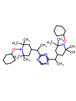 CC(c1ncnc(C(C)C2CC(C)(C)N(OC3CCCCC3)C(C)(C)C2)n1)C1CC(C)(C)N(OC2CCCCC2)C(C)(C)C1